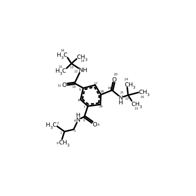 CC(C)CNC(=O)c1cc(C(=O)NC(C)(C)C)cc(C(=O)NC(C)(C)C)c1